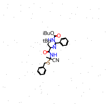 CC(C)COC(=O)NC(=NC(CC(C)(C)C)C(=O)NC(C)(C#N)SCc1ccccc1)c1ccccc1